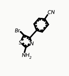 N#Cc1ccc(-c2nc(N)sc2Br)cc1